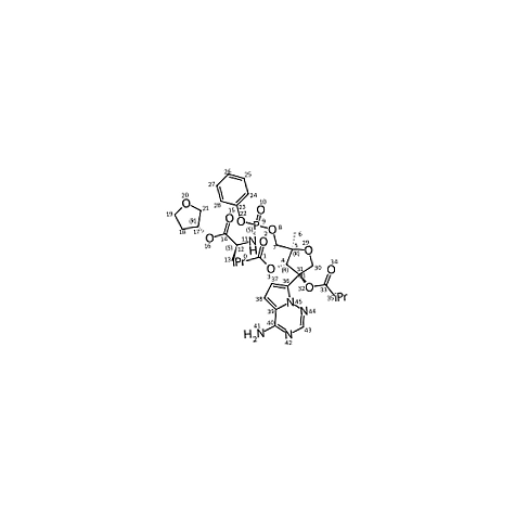 CC(C)C(=O)O[C@@H]1[C@@](C)(CO[P@@](=O)(N[C@@H](C)C(=O)O[C@@H]2CCOC2)Oc2ccccc2)OC[C@]1(OC(=O)C(C)C)c1ccc2c(N)ncnn12